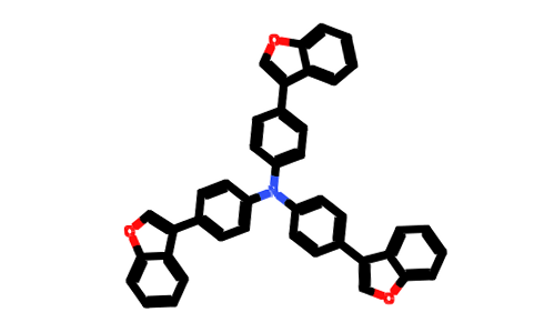 c1ccc2c(-c3ccc(N(c4ccc(-c5coc6ccccc56)cc4)c4ccc(-c5coc6ccccc56)cc4)cc3)coc2c1